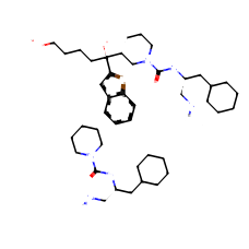 CNC[C@H](CC1CCCCC1)NC(=O)N1CCCCC1.CNC[C@H](CC1CCCCC1)NC(=O)N1CCC[C@@H]([C@@](O)(CCCCOC)c2cc3ccccc3s2)C1